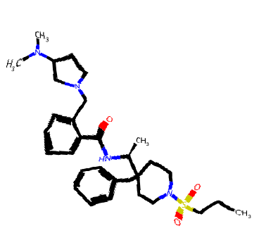 CCCS(=O)(=O)N1CCC(c2ccccc2)([C@H](C)NC(=O)c2ccccc2CN2CCC(N(C)C)C2)CC1